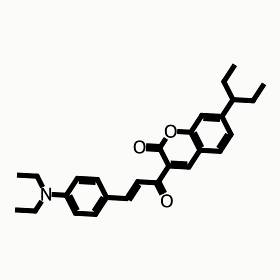 CCC(CC)c1ccc2cc(C(=O)/C=C/c3ccc(N(CC)CC)cc3)c(=O)oc2c1